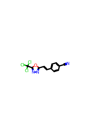 N#Cc1ccc(/C=C/c2nnc(C(Cl)(Cl)Cl)o2)cc1